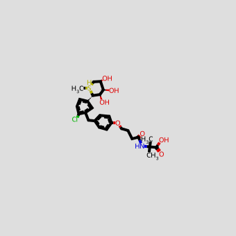 C[SH]1C[C@@H](O)[C@@H](O)[C@@H](O)[C@@H]1c1ccc(Cl)c(Cc2ccc(OCCCC(=O)NC(C)(C)C(=O)O)cc2)c1